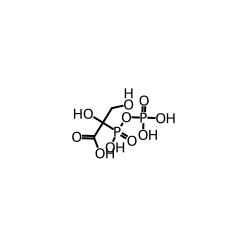 O=C(O)C(O)(CO)P(=O)(O)OP(=O)(O)O